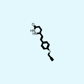 C#CCSc1ccc(/C=C/C2CCC(=O)NN2)cc1